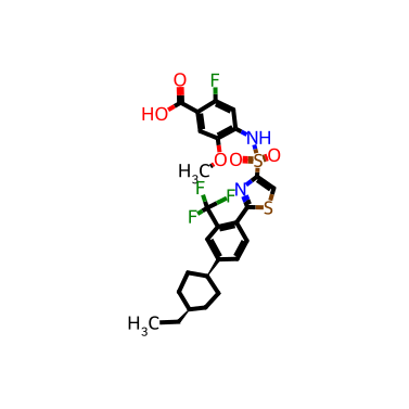 CC[C@H]1CC[C@@H](c2ccc(-c3nc(S(=O)(=O)Nc4cc(F)c(C(=O)O)cc4OC)cs3)c(C(F)(F)F)c2)CC1